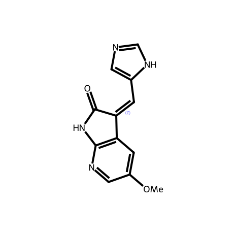 COc1cnc2c(c1)/C(=C/c1cnc[nH]1)C(=O)N2